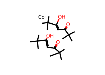 CC(C)(C)C(=O)/C=C(\O)C(C)(C)C.CC(C)(C)C(=O)/C=C(\O)C(C)(C)C.[Co]